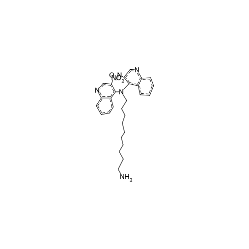 NCCCCCCCCCCN(c1c([N+](=O)[O-])cnc2ccccc12)c1c([N+](=O)[O-])cnc2ccccc12